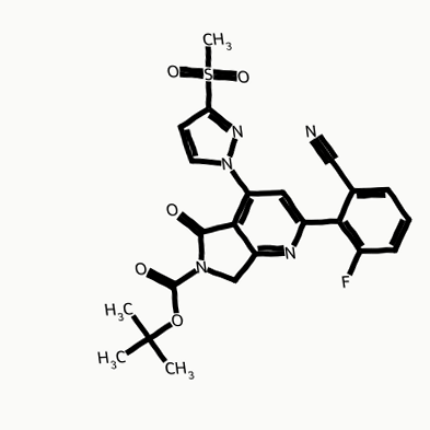 CC(C)(C)OC(=O)N1Cc2nc(-c3c(F)cccc3C#N)cc(-n3ccc(S(C)(=O)=O)n3)c2C1=O